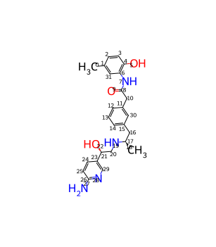 Cc1ccc(O)c(NC(=O)Cc2cccc(C[C@@H](C)NC[C@H](O)c3ccc(N)nc3)c2)c1